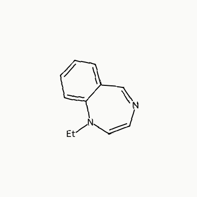 CCN1C=CN=Cc2ccccc21